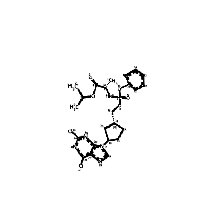 CC(C)OC(=O)[C@H](C)NP(=O)(OC[C@@H]1CCC(n2cnc3c(Cl)nc(Cl)nc32)C1)Oc1ccccc1